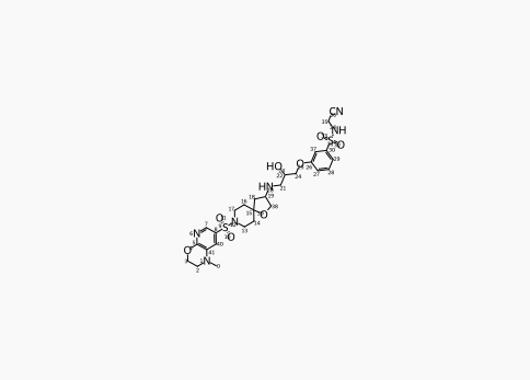 CN1CCOc2ncc(S(=O)(=O)N3CCC4(CC3)CC(NCC(O)COc3cccc(S(=O)(=O)NCC#N)c3)CO4)cc21